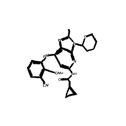 COc1c(C#N)cccc1Nc1cc(NC(=O)C2CC2)nc2c1nc(C)n2C1CCCCO1